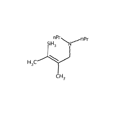 CCCN(CCC)CC(C)=C(C)[SiH3]